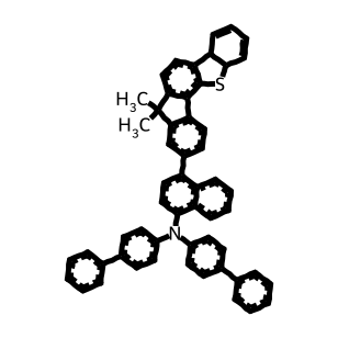 CC1(C)c2cc(-c3ccc(N(c4ccc(-c5ccccc5)cc4)c4ccc(-c5ccccc5)cc4)c4ccccc34)ccc2-c2c1ccc1c2SC2C=CC=CC12